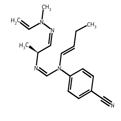 C=CN(C)/N=C\[C@H](C)/N=C\N(/C=C/CC)c1ccc(C#N)cc1